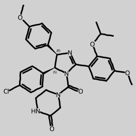 COc1ccc([C@H]2N=C(c3ccc(OC)cc3OC(C)C)N(C(=O)N3CCNC(=O)C3)[C@H]2c2ccc(Cl)cc2)cc1